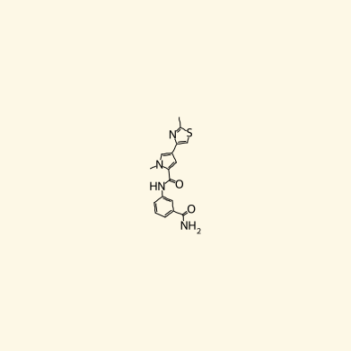 Cc1nc(-c2cc(C(=O)Nc3cccc(C(N)=O)c3)n(C)c2)cs1